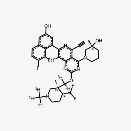 [2H]C([2H])([2H])N1CC[C@H](C(F)F)[C@](C)(C([2H])([2H])Oc2nc(N3CCC[C@@](C)(O)C3)c3c(C#C)nc(-c4cc(O)cc5ccc(F)c(CC)c45)c(F)c3n2)C1